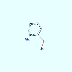 CC(C)Oc1ccccc1.N